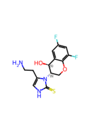 NCCc1c[nH]c(=S)n1[C@H]1COc2c(F)cc(F)cc2[C@@H]1O